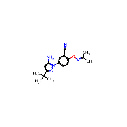 CC(C)=NOc1ccc(-n2nc(C(C)(C)C)cc2N)cc1C#N